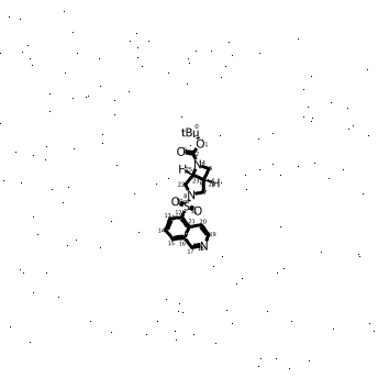 CC(C)(C)OC(=O)N1C[C@@H]2CN(S(=O)(=O)c3cccc4cnccc34)C[C@@H]21